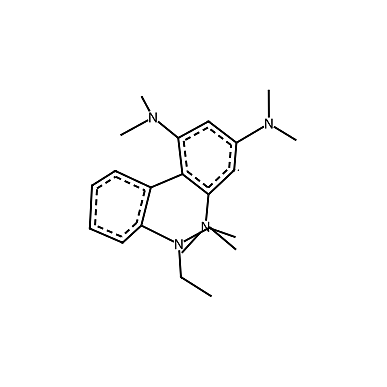 CCN(CC)c1ccccc1-c1c(N(C)C)[c]c(N(C)C)cc1N(C)C